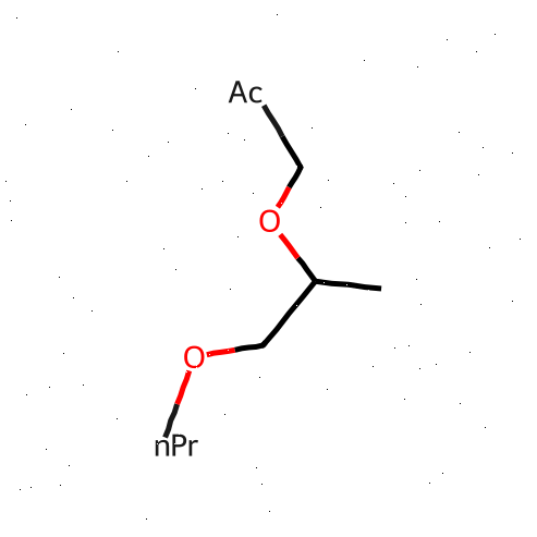 CCCOCC(C)OCC(C)=O